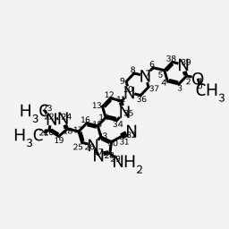 COc1ccc(CN2CCN(c3ccc(-c4cc(-c5cc(C)n(C)n5)cn5nc(N)c(C#N)c45)cn3)CC2)cn1